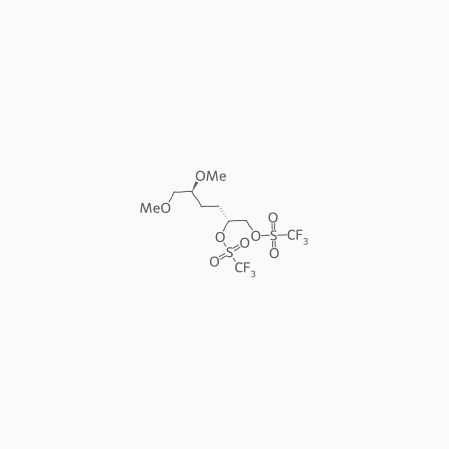 COC[C@H](CC[C@H](COS(=O)(=O)C(F)(F)F)OS(=O)(=O)C(F)(F)F)OC